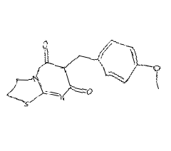 COc1ccc(CC2C(=O)N=C3SCCN3C2=O)cc1